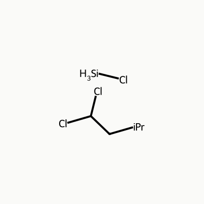 CC(C)CC(Cl)Cl.[SiH3]Cl